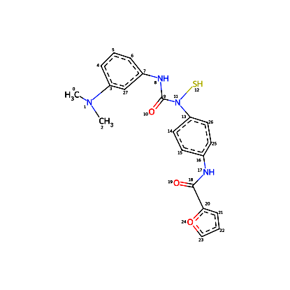 CN(C)c1cccc(NC(=O)N(S)c2ccc(NC(=O)c3ccco3)cc2)c1